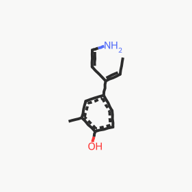 C/C=C(\C=C/N)c1ccc(O)c(C)c1